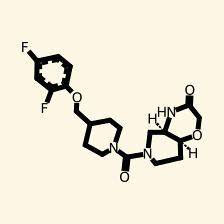 O=C1CO[C@H]2CCN(C(=O)N3CCC(COc4ccc(F)cc4F)CC3)C[C@H]2N1